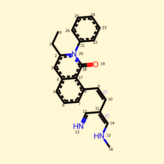 CCc1cc2cccc(/C=C\C(C=N)=C\NC)c2c(=O)n1-c1ccccc1